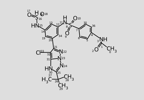 CC(=O)Nc1ccc(S(=O)(=O)Nc2cc(N[SH](=O)=O)cc(-c3nn4nc(C(C)(C)C)[nH]c4c3Cl)c2)cc1